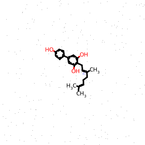 CC(C)=CCC/C(C)=C/Cc1c(O)cc(-c2ccc(O)cc2)cc1O